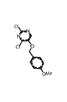 COc1ccc(COc2cnc(Cl)nc2Cl)cc1